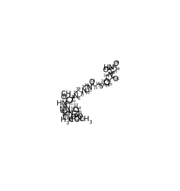 COc1cc(N2CCC(N3CCN(C(=O)CCSc4ccc5c(c4)CN(C4CCC(=O)NC4=O)C5=O)CC3)CC2)ccc1Nc1ncc(Cl)c(Nc2ccccc2P(=O)(OC)OC)n1